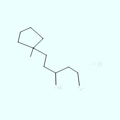 CC(CCC1(O)CCCC1)C[C@@H](N)C(=O)O